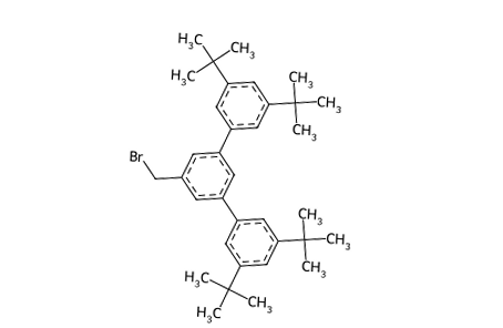 CC(C)(C)c1cc(-c2cc(CBr)cc(-c3cc(C(C)(C)C)cc(C(C)(C)C)c3)c2)cc(C(C)(C)C)c1